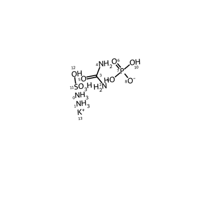 N.N.NC(N)=O.O=P([O-])(O)O.O=S(=O)(O)O.[K+]